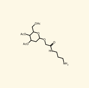 CC(=O)OCC1OC(OCC(=O)NCCCN)CC(OC(C)=O)C1OC(C)=O